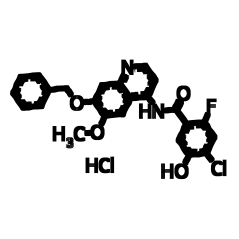 COc1cc2c(NC(=O)c3cc(O)c(Cl)cc3F)ccnc2cc1OCc1ccccc1.Cl